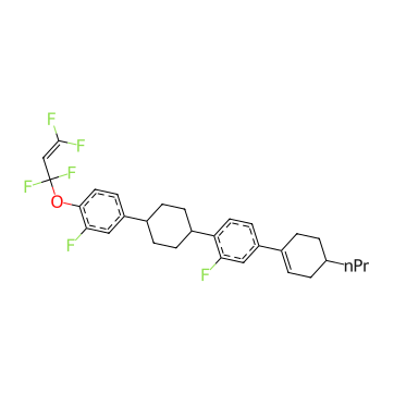 CCCC1CC=C(c2ccc(C3CCC(c4ccc(OC(F)(F)C=C(F)F)c(F)c4)CC3)c(F)c2)CC1